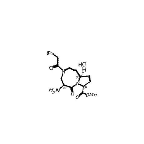 COC(=O)[C@@H]1CC[C@@H]2CCN(C(=O)CC(C)C)C[C@H](N)C(=O)N21.Cl